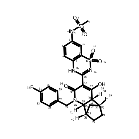 CS(=O)(=O)Nc1ccc2c(c1)S(=O)(=O)N=C(C1=C(O)[C@@H]3[C@@H]4CC[C@@H](C4)[C@@H]3N(Cc3ccc(F)cc3)C1=O)N2